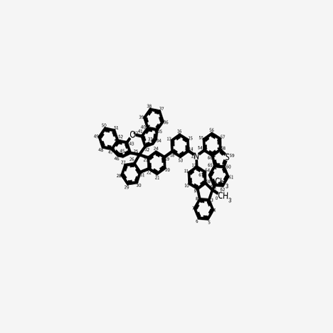 CC1(C)c2ccccc2-c2ccc(N(c3cccc(-c4ccc5c(c4)C4(c6ccccc6-5)c5ccc6ccccc6c5Oc5c4ccc4ccccc54)c3)c3cccc4sc5ccccc5c34)cc21